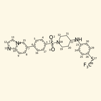 O=S(=O)(c1ccc(-c2ccc3nccn3c2)cc1)N1CCC(Nc2ccc(SC(F)(F)F)cc2)CC1